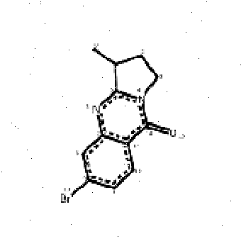 CC1CCn2c1nc1cc(Br)ccc1c2=O